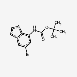 CC(C)(C)OC(=O)Nc1cc(Br)cn2ccnc12